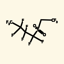 O=S(=O)(CC(F)(F)F)C(F)(F)C(F)(F)C(F)(F)C(F)(F)F